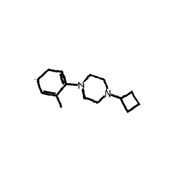 CC1=C[CH]CC=C1N1CCN(C2CCC2)CC1